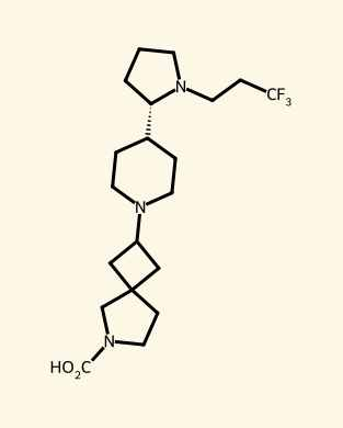 O=C(O)N1CCC2(CC(N3CCC([C@@H]4CCCN4CCC(F)(F)F)CC3)C2)C1